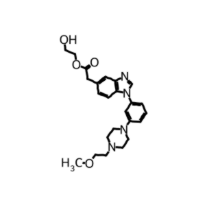 COCCN1CCN(c2cccc(-n3cnc4cc(CC(=O)OCCO)ccc43)c2)CC1